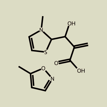 C=C(C(=O)O)C(O)C1SC=CN1C.Cc1ccno1